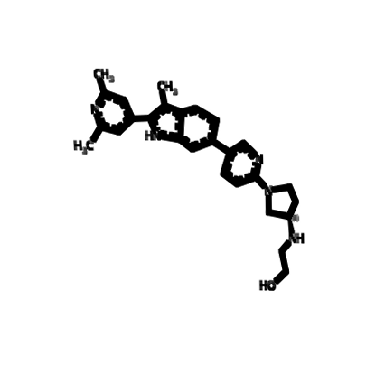 Cc1cc(-c2[nH]c3cc(-c4ccc(N5CC[C@@H](NCCO)C5)nc4)ccc3c2C)cc(C)n1